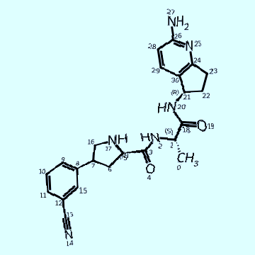 C[C@H](NC(=O)[C@H]1CC(c2cccc(C#N)c2)CN1)C(=O)N[C@@H]1CCc2nc(N)ccc21